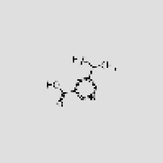 CC(C)c1cncc(C(=O)O)c1